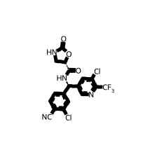 N#Cc1ccc([C@H](NC(=O)[C@@H]2CNC(=O)O2)c2cnc(C(F)(F)F)c(Cl)c2)cc1Cl